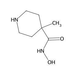 CC1(C(=O)NO)CCNCC1